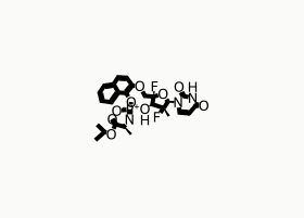 CC(C)OC(=O)[C@H](C)/N=[P+](\[O-])Oc1c(OC[C@@]2(F)O[C@@H](n3ccc(=O)[nH]c3=O)[C@](C)(F)[C@@H]2O)ccc2ccccc12